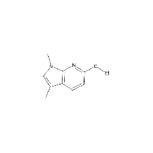 CCOc1ccc2c(C)cn(C)c2n1